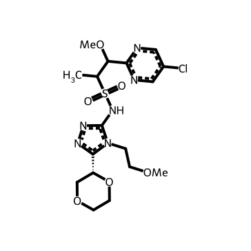 COCCn1c(NS(=O)(=O)C(C)C(OC)c2ncc(Cl)cn2)nnc1[C@H]1COCCO1